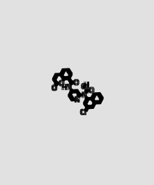 O=C(Nc1ccnc(N(c2cc(Cl)cc3ccccc23)[SH](=O)=O)c1)c1cccc2ccc(=O)oc12